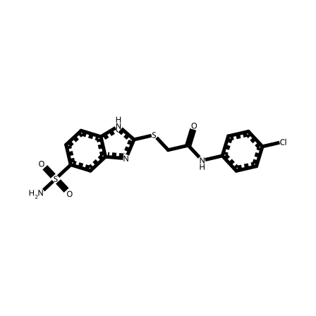 NS(=O)(=O)c1ccc2[nH]c(SCC(=O)Nc3ccc(Cl)cc3)nc2c1